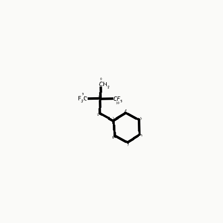 CC(CC1CCCCC1)(C(F)(F)F)C(F)(F)F